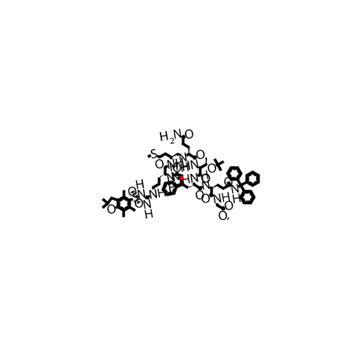 COC(=O)CNC(=O)[C@H](CCC(=O)NC(c1ccccc1)(c1ccccc1)c1ccccc1)NC(=O)[C@H](Cc1c[nH]c2ccccc12)NC(=O)[C@@H](NC(=O)[C@H](CCC(N)=O)NC[C@H](CCSC)NC(=O)[C@@H](CCCNC(=N)NS(=O)(=O)c1c(C)c(C)c2c(c1C)CC(C)(C)O2)NC(C)=O)[C@@H](C)OC(C)(C)C